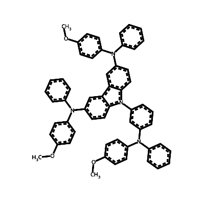 COc1ccc(N(c2ccccc2)c2cccc(-n3c4ccc(N(c5ccccc5)c5ccc(OC)cc5)cc4c4cc(N(c5ccccc5)c5ccc(OC)cc5)ccc43)c2)cc1